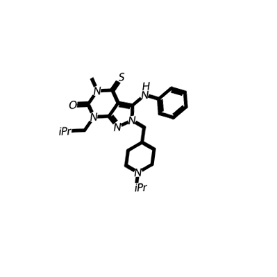 CC(C)Cn1c(=O)n(C)c(=S)c2c(Nc3ccccc3)n(CC3CCN(C(C)C)CC3)nc21